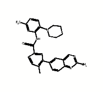 Cc1ccc(C(=O)Nc2cc(C(F)(F)F)ccc2N2CCCCC2)cc1-c1ccc2nc(N)ncc2c1